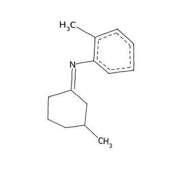 Cc1ccccc1N=C1CCCC(C)C1